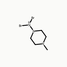 CN1CCN([SiH](Br)Br)CC1